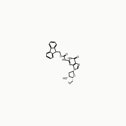 [2H]C[C@H]1O[C@@H](n2cnc3c(=O)[nH]c(NC(=O)OCC4c5ccccc5-c5ccccc54)nc32)C[C@H]1O